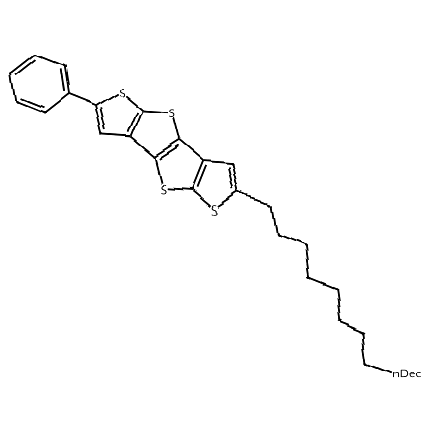 CCCCCCCCCCCCCCCCCCc1cc2c(s1)sc1c3cc(-c4ccccc4)sc3sc21